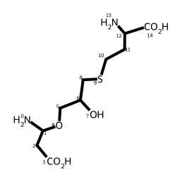 NC(CC(=O)O)OCC(O)CSCCC(N)C(=O)O